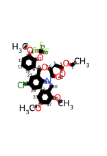 CCOC(=O)C[C@@H]1O[C@@H](c2cccc(OC)c2OC(F)(F)F)c2cc(Cl)ccc2N(Cc2ccc(OC)cc2OC)C1=O